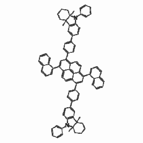 CC12CCCCC1(C)N(c1ccccc1)c1ccc(-c3ccc(-c4cc(-c5cccc6ccccc56)c5ccc6c(-c7ccc(-c8ccc9c(c8)C8(C)CCCCC8(C)N9c8ccccc8)cc7)cc(-c7cccc8ccccc78)c7ccc4c5c67)cc3)cc12